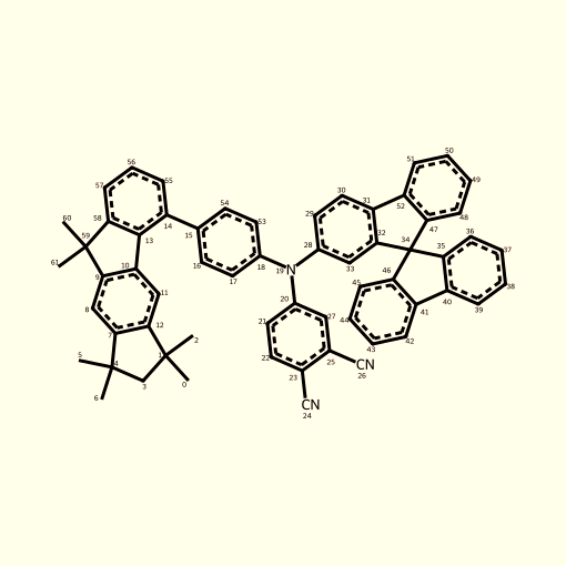 CC1(C)CC(C)(C)c2cc3c(cc21)-c1c(-c2ccc(N(c4ccc(C#N)c(C#N)c4)c4ccc5c(c4)C4(c6ccccc6-c6ccccc64)c4ccccc4-5)cc2)cccc1C3(C)C